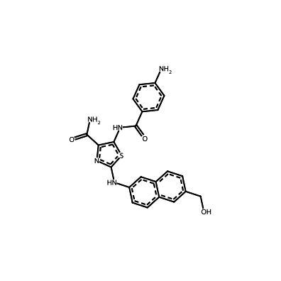 NC(=O)c1nc(Nc2ccc3cc(CO)ccc3c2)sc1NC(=O)c1ccc(N)cc1